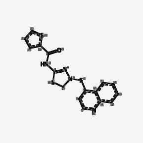 O=C(NC1=NN(Sc2ccnc3ccccc23)CS1)c1cccs1